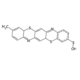 CC1=CC2SC3=CC4=Nc5ccc(SO)cc5SC4C=C3N=C2C=C1